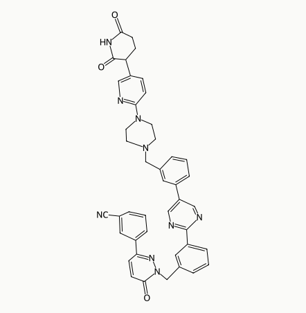 N#Cc1cccc(-c2ccc(=O)n(Cc3cccc(-c4ncc(-c5cccc(CN6CCN(c7ccc(C8CCC(=O)NC8=O)cn7)CC6)c5)cn4)c3)n2)c1